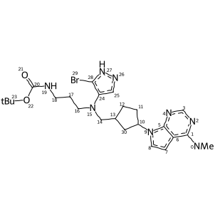 CNc1ncnc2c1ccn2C1CCC(CN(CCCNC(=O)OC(C)(C)C)c2cn[nH]c2Br)C1